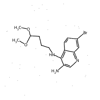 COC(CCCNc1c(N)cnc2cc(Br)ccc12)OC